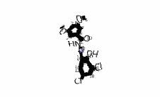 COc1cc(OC)cc(C(=O)N/N=C/c2cc(Cl)cc(Cl)c2O)c1